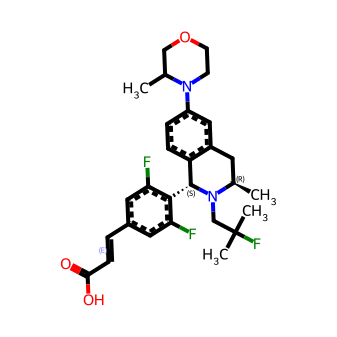 CC1COCCN1c1ccc2c(c1)C[C@@H](C)N(CC(C)(C)F)[C@@H]2c1c(F)cc(/C=C/C(=O)O)cc1F